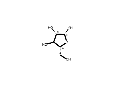 OC[C@H]1O[C@@H](S)[C@@H](O)C1O